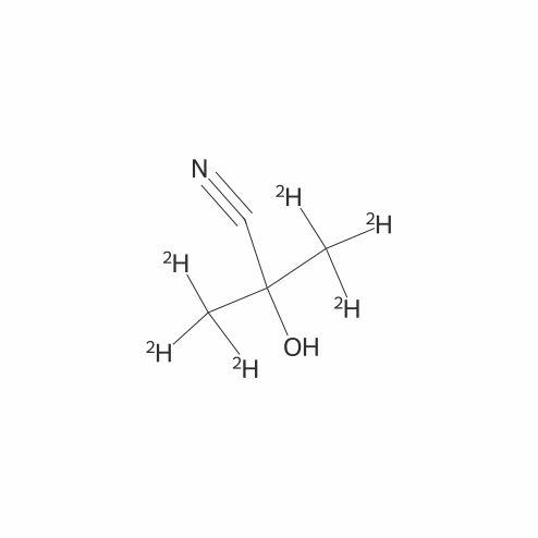 [2H]C([2H])([2H])C(O)(C#N)C([2H])([2H])[2H]